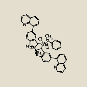 CC1=Cc2ccc(-c3cccc4cccnc34)cc2[CH]1[Zr]([Cl])([Cl])([CH]1C(C)=Cc2ccc(-c3cccc4cccnc34)cc21)[SiH](C)c1ccccc1